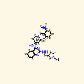 CCN1CCC(CNc2nc(NC3CCN(Cc4c(OC)cccc4N(C)C)CC3)c3ccccc3n2)C1